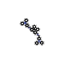 c1ccc2c(c#1)-c1ccccc1C21c2cc(/C=C/Cc3ccc(N(c4ccccc4)c4ccccc4)cc3)ccc2-c2ccc(/C=C/c3ccc(N(c4ccccc4)c4ccccc4)cc3)cc21